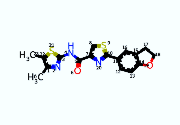 Cc1nc(NC(=O)c2csc(-c3ccc4c(c3)CCO4)n2)sc1C